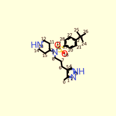 Cc1n[nH]cc1CCCN(C1CCNCC1)S(=O)(=O)c1ccc(C(C)(C)C)cc1